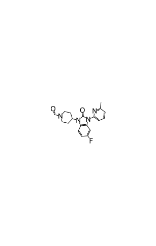 Cc1cccc(-n2c(=O)n(C3CCN(C=O)CC3)c3ccc(F)cc32)n1